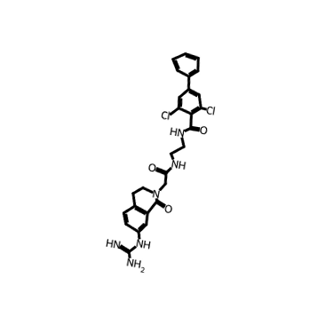 N=C(N)Nc1ccc2c(c1)C(=O)N(CC(=O)NCCNC(=O)c1c(Cl)cc(-c3ccccc3)cc1Cl)CC2